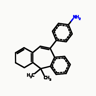 CC1(C)C2=C(C=CCC2)C=C(c2ccc(N)cc2)c2ccccc21